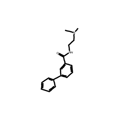 CN(C)CCNC(=O)c1cccc(-c2cc[c]cc2)c1